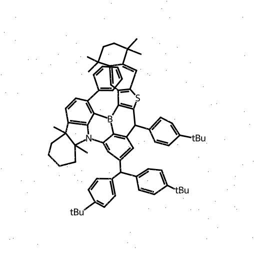 CC(C)(C)c1ccc(C(c2ccc(C(C)(C)C)cc2)c2cc3c4c(c2)N2c5c(ccc(-c6ccccc6)c5B4c4c(sc5cc6c(cc45)C(C)(C)CCC6(C)C)C3c3ccc(C(C)(C)C)cc3)C3(C)CCCCC23C)cc1